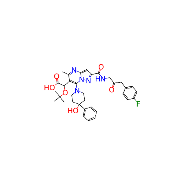 Cc1nc2cc(C(=O)NCC(=O)Cc3ccc(F)cc3)nn2c(N2CCC(O)(c3ccccc3)CC2)c1C(OC(C)(C)C)C(=O)O